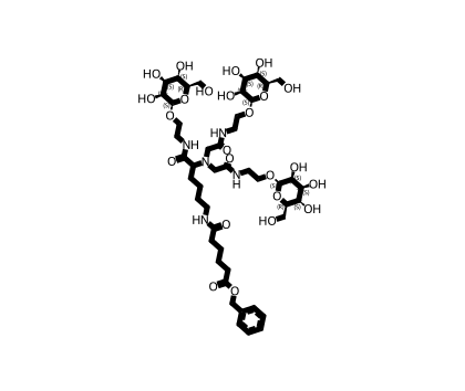 O=C(CCCCC(=O)OCc1ccccc1)NCCCCC(C(=O)NCCO[C@H]1O[C@H](CO)[C@@H](O)[C@H](O)[C@@H]1O)N(CC(=O)NCCO[C@H]1O[C@H](CO)[C@@H](O)[C@H](O)[C@@H]1O)CC(=O)NCCO[C@H]1O[C@H](CO)[C@@H](O)[C@H](O)[C@@H]1O